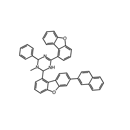 CN1C(c2ccccc2)N=C(c2cccc3oc4ccccc4c23)NC1c1cccc2oc3cc(-c4ccc5ccccc5c4)ccc3c12